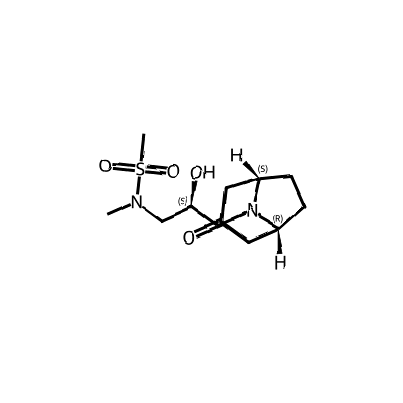 CN(C[C@@H](O)CN1[C@@H]2CC[C@H]1CC(=O)C2)S(C)(=O)=O